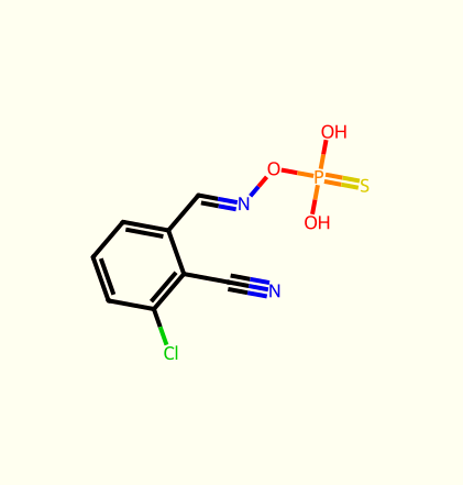 N#Cc1c(Cl)cccc1C=NOP(O)(O)=S